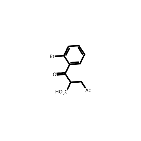 CCc1ccccc1C(=O)C(CC(C)=O)C(=O)O